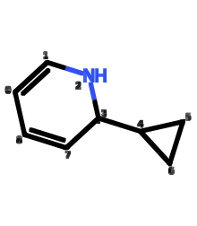 C1=CN[C](C2CC2)C=C1